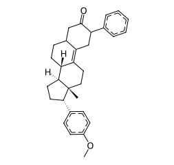 COc1ccc([C@@H]2CC[C@H]3[C@@H]4CCC5CC(=O)C(c6ccccc6)CC5=C4CC[C@]23C)cc1